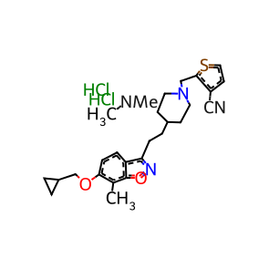 CNC.Cc1c(OCC2CC2)ccc2c(CCC3CCN(Cc4sccc4C#N)CC3)noc12.Cl.Cl